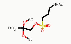 CCOC(=O)C(COS(=O)(=O)CCCNC(C)=O)(OCC)OCC